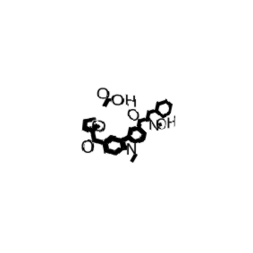 CC(=O)O.CCn1c2ccc(C(=O)C(CC3CCCCC3)=NO)cc2c2cc(C(=O)c3ccco3)ccc21